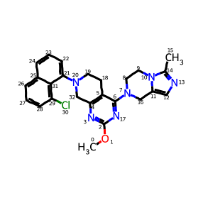 COc1nc2c(c(N3CCn4c(cnc4C)C3)n1)CCN(c1cccc3cccc(Cl)c13)C2